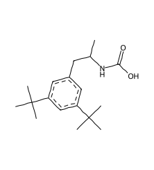 CC(Cc1cc(C(C)(C)C)cc(C(C)(C)C)c1)NC(=O)O